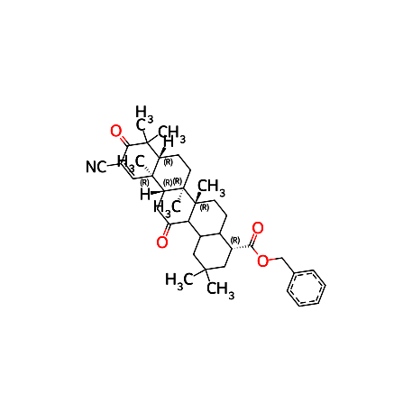 CC1(C)CC2C(CC[C@]3(C)C2C(=O)C[C@@H]2[C@@]4(C)C=C(C#N)C(=O)C(C)(C)[C@@H]4CC[C@]23C)[C@H](C(=O)OCc2ccccc2)C1